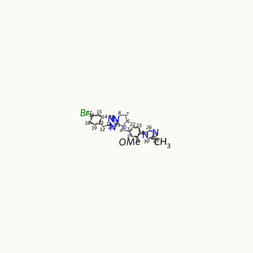 COc1cc(/C=C2\CCCn3nc(Cc4ccc(Br)cc4)nc32)ccc1-n1cnc(C)c1